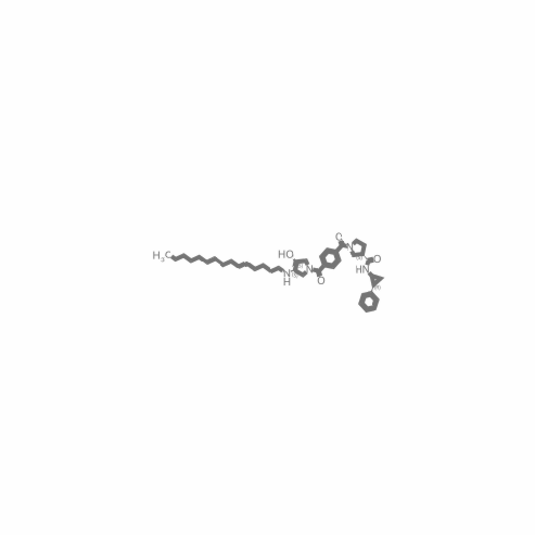 CCCCCCCCCCCCCCCN[C@H]1CN(C(=O)c2ccc(C(=O)N3CC[C@H](C(=O)NC4C[C@@H]4c4ccccc4)C3)cc2)C[C@@H]1O